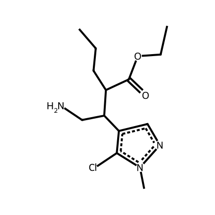 CCCC(C(=O)OCC)C(CN)c1cnn(C)c1Cl